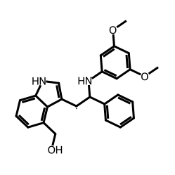 COc1cc(NC([CH]c2c[nH]c3cccc(CO)c23)c2ccccc2)cc(OC)c1